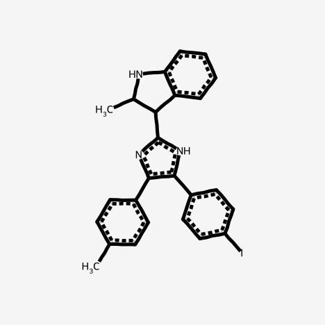 Cc1ccc(-c2nc(C3c4ccccc4NC3C)[nH]c2-c2ccc(I)cc2)cc1